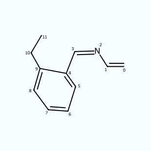 C=C/N=C\c1ccccc1CC